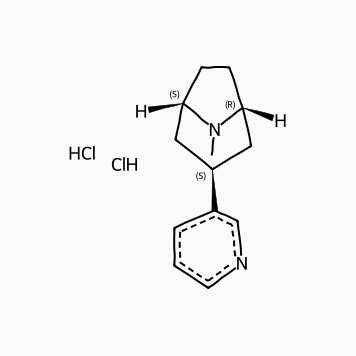 CN1[C@@H]2CC[C@H]1C[C@H](c1cccnc1)C2.Cl.Cl